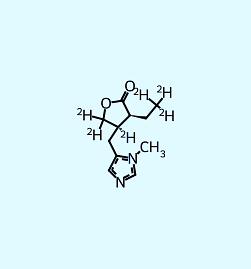 [2H]C([2H])([2H])C[C@@H]1C(=O)OC([2H])([2H])[C@]1([2H])Cc1cncn1C